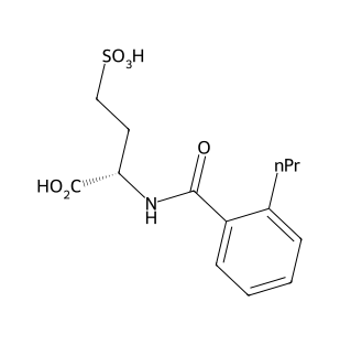 CCCc1ccccc1C(=O)N[C@@H](CCS(=O)(=O)O)C(=O)O